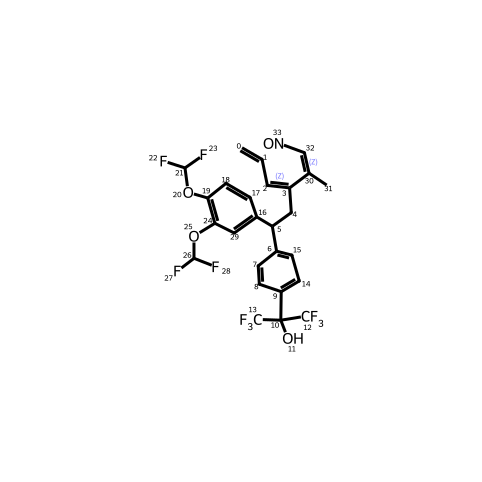 C=C/C=C(CC(c1ccc(C(O)(C(F)(F)F)C(F)(F)F)cc1)c1ccc(OC(F)F)c(OC(F)F)c1)\C(C)=C/N=O